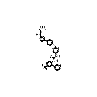 CCCNc1ncc(-c2ccc(Oc3ncc(NC(=O)Nc4ccc(C(F)(F)F)cc4-c4cccnc4)cn3)cc2)s1